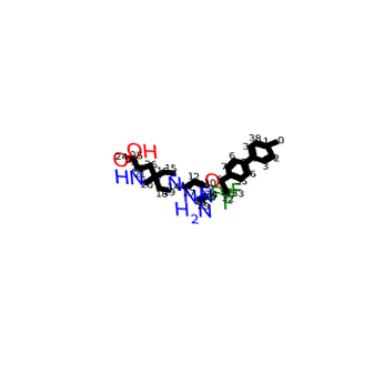 Cc1ccc(-c2ccc([C@@H](Oc3cc(N4CCC5(CC4)CNC(C(=O)O)C5)nc(N)n3)C(F)(F)F)cc2)cc1